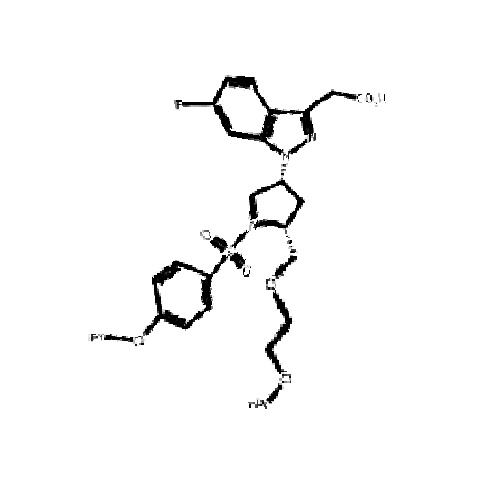 CCCOCCOC[C@H]1C[C@@H](n2nc(CC(=O)O)c3ccc(F)cc32)CN1S(=O)(=O)c1ccc(OC(C)C)cc1